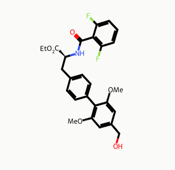 CCOC(=O)[C@H](Cc1ccc(-c2c(OC)cc(CO)cc2OC)cc1)NC(=O)c1c(F)cccc1F